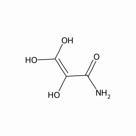 NC(=O)C(O)=C(O)O